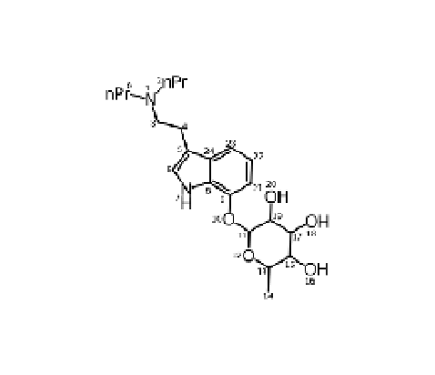 CCCN(CCC)CCc1c[nH]c2c(OC3OC(C)C(O)C(O)C3O)cccc12